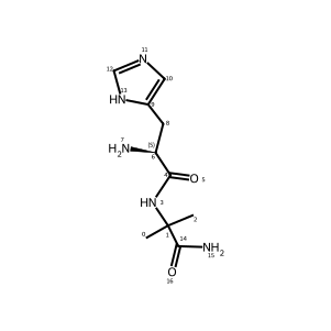 CC(C)(NC(=O)[C@@H](N)Cc1cnc[nH]1)C(N)=O